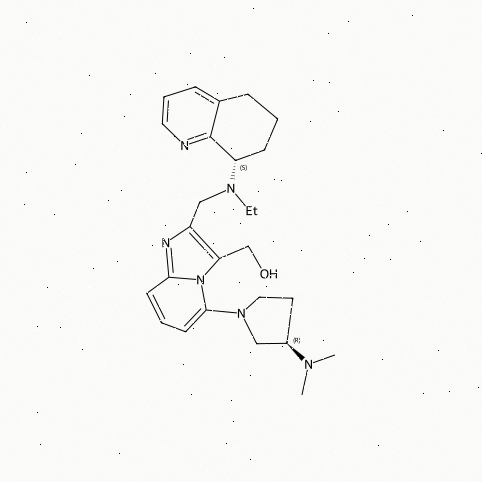 CCN(Cc1nc2cccc(N3CC[C@@H](N(C)C)C3)n2c1CO)[C@H]1CCCc2cccnc21